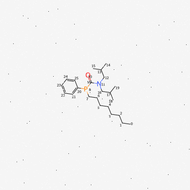 CCCCCCCCP(C(=O)N(CC(C)C)CC(C)C)c1ccccc1